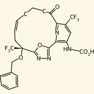 O=C(O)Nc1cc(C(F)(F)F)c2nc1-c1nnc(o1)[C@@](OCc1ccccc1)(C(F)(F)F)CC=CCCCC2=O